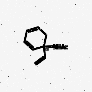 C=C[C@]1(NC(C)=O)C=CC=CC1